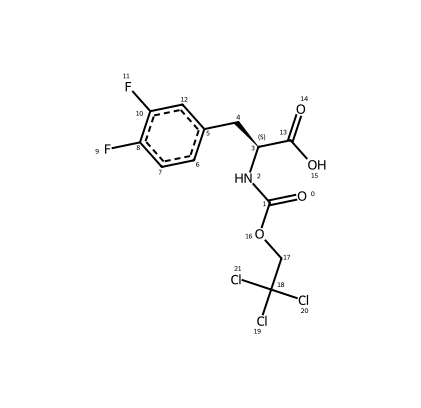 O=C(N[C@@H](Cc1ccc(F)c(F)c1)C(=O)O)OCC(Cl)(Cl)Cl